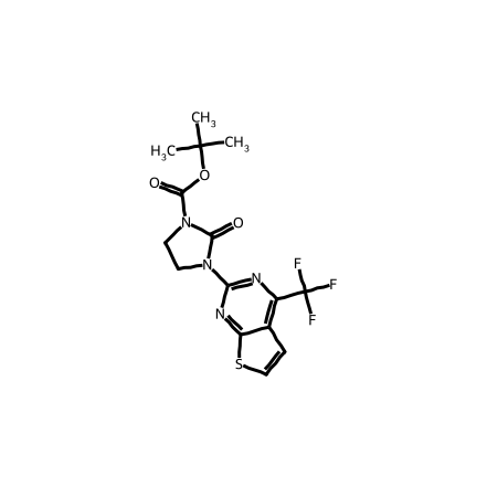 CC(C)(C)OC(=O)N1CCN(c2nc(C(F)(F)F)c3ccsc3n2)C1=O